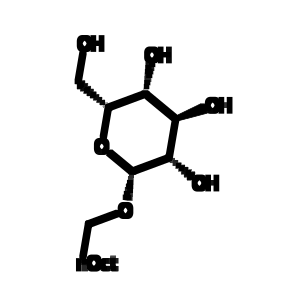 CCCCCCCCCO[C@@H]1O[C@H](CO)[C@H](O)[C@@H](O)[C@@H]1O